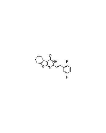 O=c1[nH]c(/C=C/c2cc(F)ccc2F)nc2sc3c(c12)CCCC3